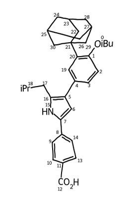 CC(C)COc1ccc(-c2cc(-c3ccc(C(=O)O)cc3)[nH]c2CC(C)C)cc1C12CC3CC(CC(C3)C1)C2